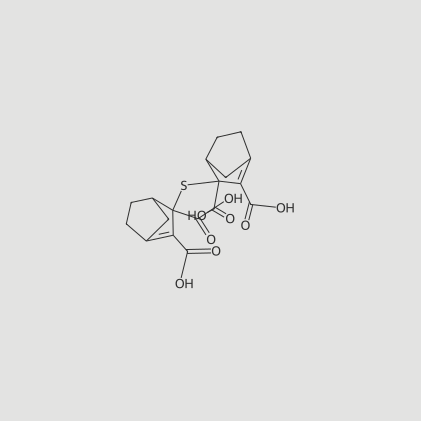 O=C(O)C1=C2CCC(C2)C1(SC1(C(=O)O)C(C(=O)O)=C2CCC1C2)C(=O)O